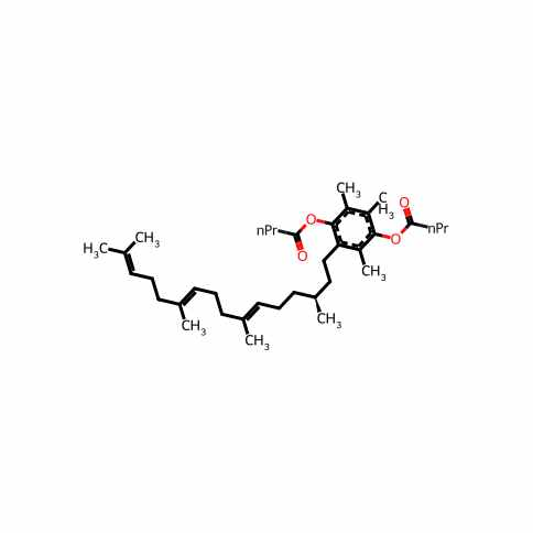 CCCC(=O)Oc1c(C)c(C)c(OC(=O)CCC)c(CC[C@@H](C)CC/C=C(\C)CC/C=C(\C)CCC=C(C)C)c1C